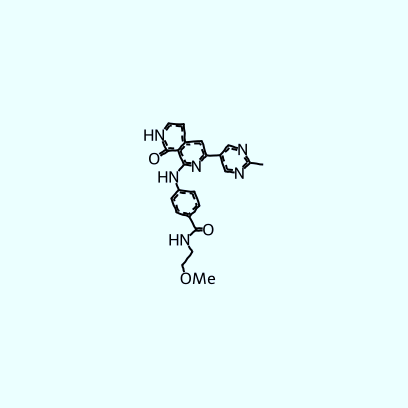 COCCNC(=O)c1ccc(Nc2nc(-c3cnc(C)nc3)cc3cc[nH]c(=O)c23)cc1